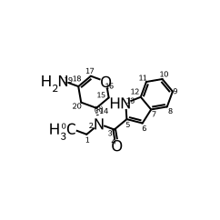 CCN(C(=O)c1cc2ccccc2[nH]1)[C@H]1COC=C(N)C1